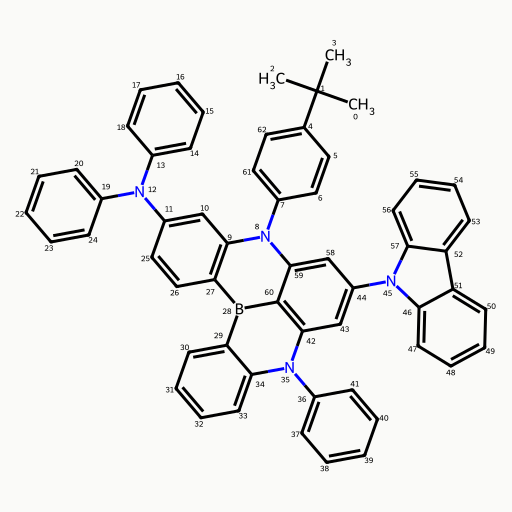 CC(C)(C)c1ccc(N2c3cc(N(c4ccccc4)c4ccccc4)ccc3B3c4ccccc4N(c4ccccc4)c4cc(-n5c6ccccc6c6ccccc65)cc2c43)cc1